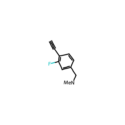 C#Cc1ccc(CNC)cc1F